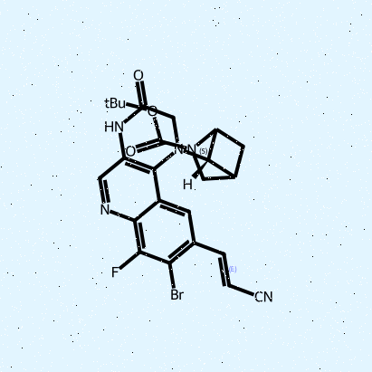 CC(C)(C)OC(=O)N1CC2CC1[C@H]2N1CC(=O)Nc2cnc3c(F)c(Br)c(/C=C/C#N)cc3c21